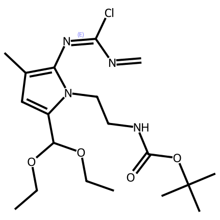 C=N/C(Cl)=N\c1c(C)cc(C(OCC)OCC)n1CCNC(=O)OC(C)(C)C